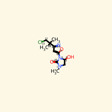 CN1CC(O)N(c2cc(C(C)(C)CCl)no2)C1=O